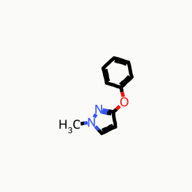 Cn1ccc(Oc2ccccc2)n1